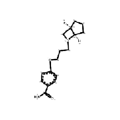 NC(=O)c1ccc(OCCCN2C[C@H]3CCC[C@H]32)cc1